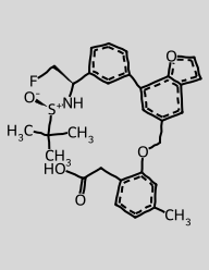 Cc1ccc(CC(=O)O)c(OCc2cc(-c3cccc([C@H](CF)N[S@+]([O-])C(C)(C)C)c3)c3occc3c2)c1